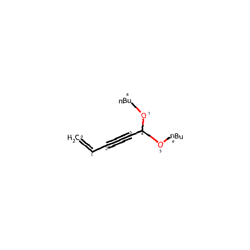 C=CC#CC(OCCCC)OCCCC